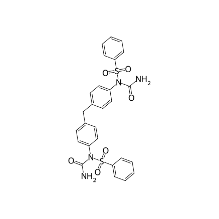 NC(=O)N(c1ccc(Cc2ccc(N(C(N)=O)S(=O)(=O)c3ccccc3)cc2)cc1)S(=O)(=O)c1ccccc1